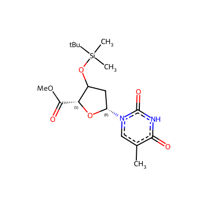 COC(=O)[C@H]1O[C@@H](n2cc(C)c(=O)[nH]c2=O)CC1O[Si](C)(C)C(C)(C)C